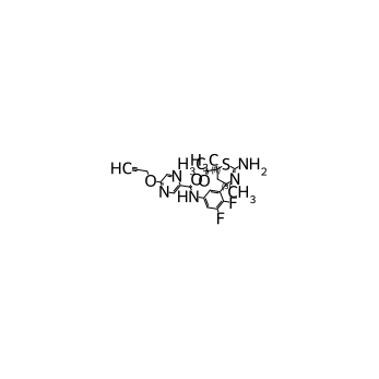 C#CCOc1cnc(C(=O)Nc2cc(F)c(F)c([C@]3(C)C[C@](C)(C(C)=O)SC(N)=N3)c2)cn1